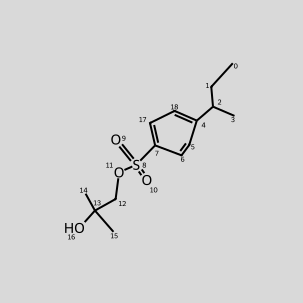 CCC(C)c1ccc(S(=O)(=O)OCC(C)(C)O)cc1